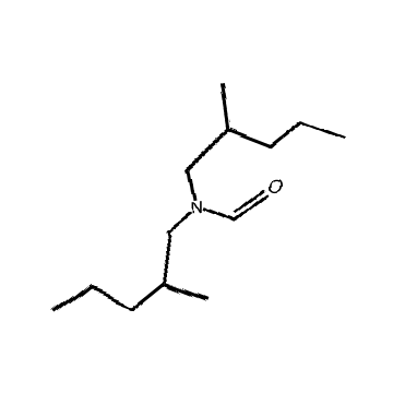 CCCC(C)CN(C=O)CC(C)CCC